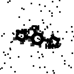 N#Cc1cc(N2C=CSN2)ccc1N1C=CSN1